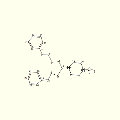 CN1CCN(C(CCCCc2ccccc2)CCCc2ccccc2)CC1